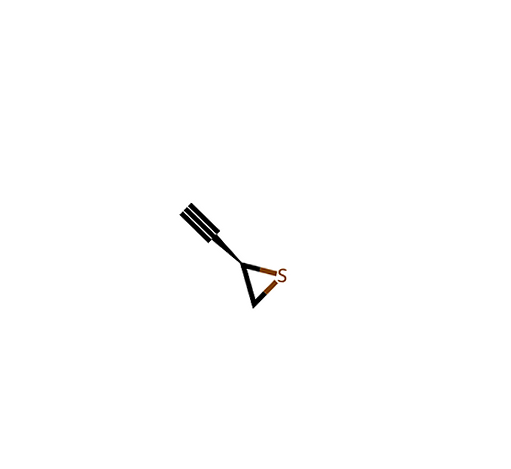 C#C[C@@H]1CS1